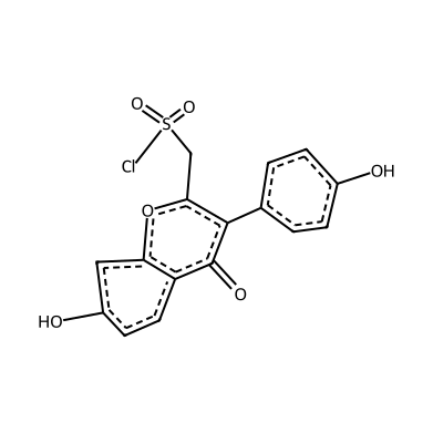 O=c1c(-c2ccc(O)cc2)c(CS(=O)(=O)Cl)oc2cc(O)ccc12